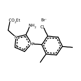 CCOC(=O)Cn1cc[n+](-c2c(C)cc(C)cc2Cl)c1N.[Br-]